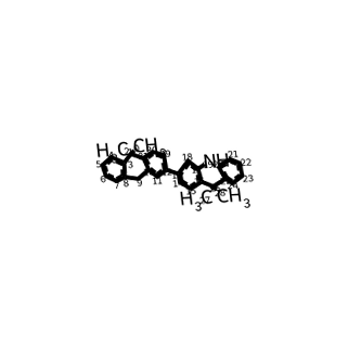 CC1(C)c2ccccc2Cc2cc(-c3ccc4c(c3)Nc3ccccc3C4(C)C)ccc21